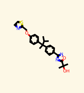 CC(C)C(C)(c1ccc(OCc2nccs2)cc1)c1ccc(-c2noc(C(C)(C)O)n2)cc1